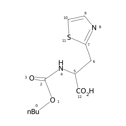 CCCCOC(=O)NC(Cc1nccs1)C(=O)O